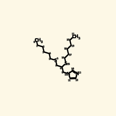 CCCCCCSCC(Cn1ccnc1)SCCCCCC